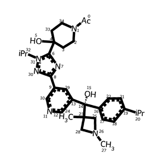 CC(=O)N1CCC(O)(c2nc(-c3cncc([C@@](O)(c4ccc(C(C)C)cc4)C4(C)CN(C)C4)c3)nn2C(C)C)CC1